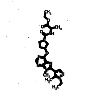 CCOC(=O)C(C)NC(=O)N1CCC(Oc2ncnc3c2nc(-c2cnn(CC)c2C)n3C)C1